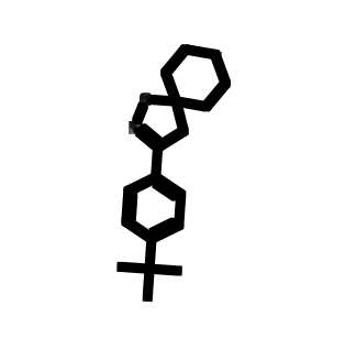 CC(C)(C)c1ccc(C2=NOC3(CC[CH]CC3)C2)cc1